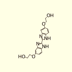 OCCOc1ccc2[nH]c(-c3nc4cc(OCCO)ccc4[nH]3)nc2c1